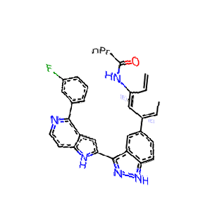 C=C/C(=C\C(=C/C)c1ccc2[nH]nc(-c3cc4c(-c5cccc(F)c5)nccc4[nH]3)c2c1)NC(=O)CCC